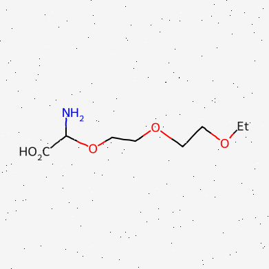 CCOCCOCCOC(N)C(=O)O